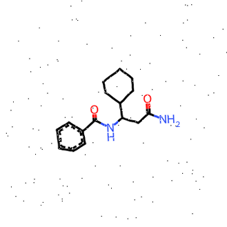 NC(=O)CC(NC(=O)c1ccccc1)C1CCCCC1